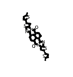 Cc1ccc(-c2cc3c(nc4c5ccc6c(=O)n7c8cc(-c9ccc(C)s9)sc8nc7c7ccc(c(=O)n34)c5c67)s2)s1